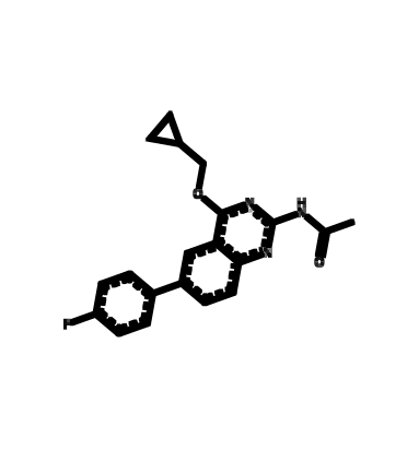 CC(=O)Nc1nc(OCC2CC2)c2cc(-c3ccc(F)cc3)ccc2n1